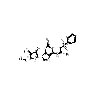 C[C@H](CS(=O)(=O)c1ccccc1)Nc1nc(Cl)nc2c1ncn2[C@@H]1O[C@H](CO)C(O)C1O